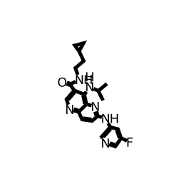 CC(C)Nc1c(C(=O)NCCC2CC2)cnc2ccc(Nc3cncc(F)c3)nc12